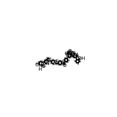 Nc1nnc(-c2ccccc2O)cc1N1C[C@@H](c2ccc(C(=O)N3CCC(F)(CN4CCC(n5ccc6cc(N7CCC(=O)NC7=O)cnc65)CC4)CC3)cc2)O[C@H]2COC[C@H]21